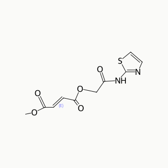 COC(=O)/C=C/C(=O)OCC(=O)Nc1nccs1